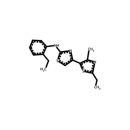 CCc1nc(C)c(-c2csc(Nc3ccccc3CC)n2)s1